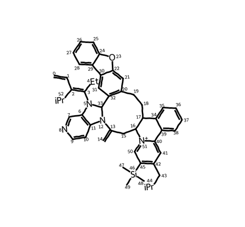 C=C/C(=C(\CC)N1c2cnccc2N2C(=C)CC3C(CCc4cc5oc6ccccc6c5cc4C21)c1ccccc1-c1cc(CC(C)C)c([Si](C)(C)C)c[n+]13)C(C)C